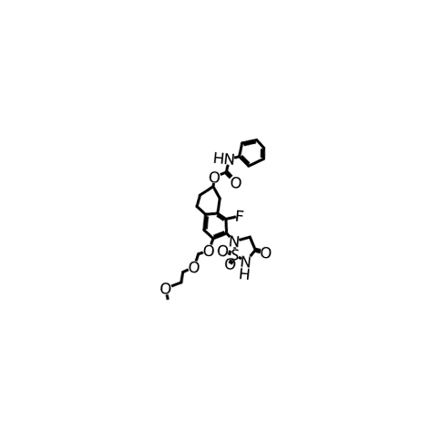 COCCOCOc1cc2c(c(F)c1N1CC(=O)NS1(=O)=O)CC(OC(=O)Nc1ccccc1)CC2